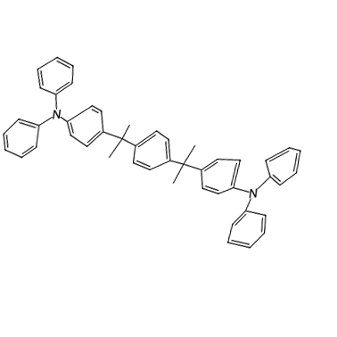 CC(C)(c1ccc(N(c2ccccc2)c2ccccc2)cc1)c1ccc(C(C)(C)c2ccc(N(c3ccccc3)c3ccccc3)cc2)cc1